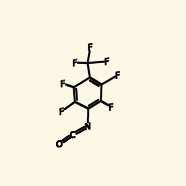 O=C=Nc1c(F)c(F)c(C(F)(F)F)c(F)c1F